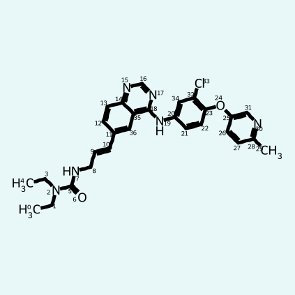 CCN(CC)C(=O)NCC=Cc1ccc2ncnc(Nc3ccc(Oc4ccc(C)nc4)c(Cl)c3)c2c1